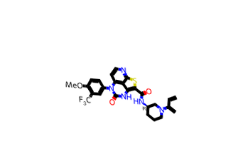 C=CC(=C)N1CCC[C@@H](NC(=O)c2sc3nccc4c3c2NC(=O)N4c2ccc(OC)c(C(F)(F)F)c2)C1